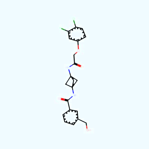 O=C(COc1ccc(Cl)c(F)c1)NC12CC(NC(=O)c3cccc(CO)c3)(C1)C2